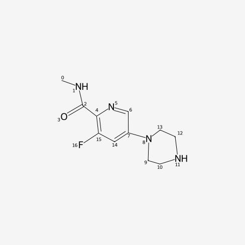 CNC(=O)c1ncc(N2CCNCC2)cc1F